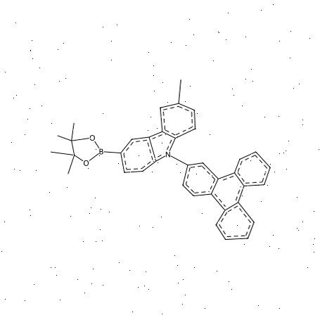 Cc1ccc2c(c1)c1cc(B3OC(C)(C)C(C)(C)O3)ccc1n2-c1ccc2c3ccccc3c3ccccc3c2c1